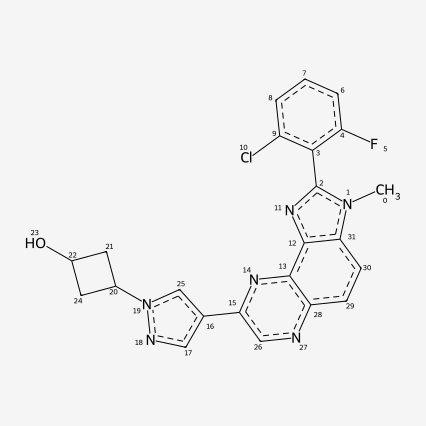 Cn1c(-c2c(F)cccc2Cl)nc2c3nc(-c4cnn(C5CC(O)C5)c4)cnc3ccc21